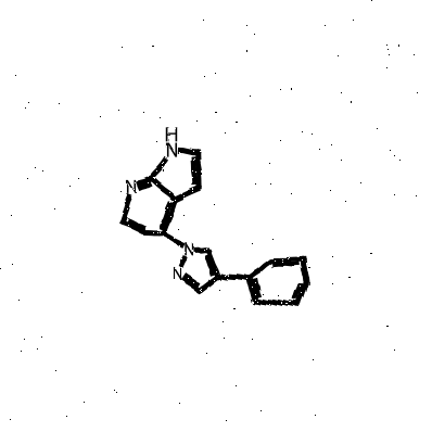 c1ccc(-c2cnn(-c3ccnc4[nH]ccc34)c2)cc1